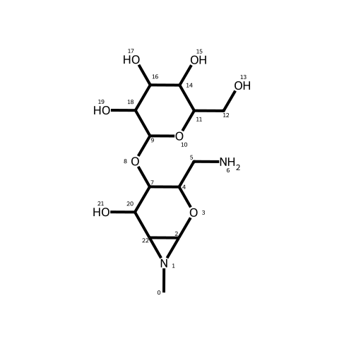 CN1C2OC(CN)C(OC3OC(CO)C(O)C(O)C3O)C(O)C21